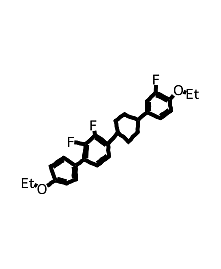 CCOc1ccc(-c2ccc(C3CCC(c4ccc(OCC)c(F)c4)CC3)c(F)c2F)cc1